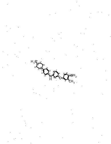 Cc1cc(Oc2ccnc(Nc3ccc(N4CCN(C)CC4)cc3)n2)ccc1N